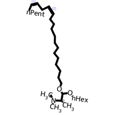 CCCCC/C=C\C/C=C\CCCCCCCCCCCCOC(OCCCCCC)[C@H](C)N(C)C